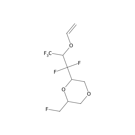 C=COC(C(F)(F)F)C(F)(F)C1COCC(CF)O1